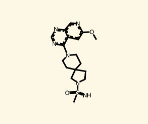 COc1cc2c(N3CCC4(CC3)CCN(S(C)(=N)=O)C4)ncnc2cn1